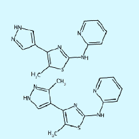 Cc1n[nH]cc1-c1nc(Nc2ccccn2)sc1C.Cc1sc(Nc2ccccn2)nc1-c1cn[nH]c1